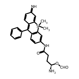 C[Si]1(C)C2=CC(=N)C=CC2=C(c2ccccc2)c2ccc(NC(=O)CC[C@H](N)OC=O)cc21